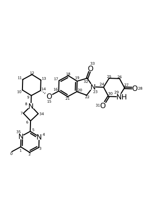 Cc1ccnc(C2CN(C3CCCC[C@@H]3Oc3ccc4c(c3)CN(C3CCC(=O)NC3=O)C4=O)C2)n1